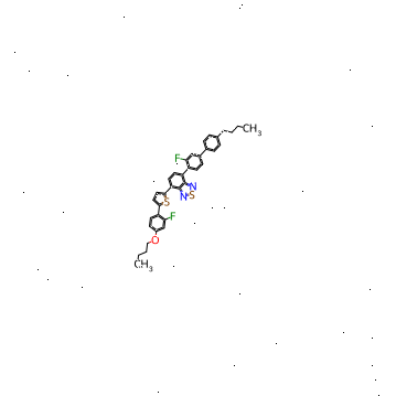 CCCCOc1ccc(-c2ccc(-c3ccc(-c4ccc(-c5ccc(CCCC)cc5)cc4F)c4nsnc34)s2)c(F)c1